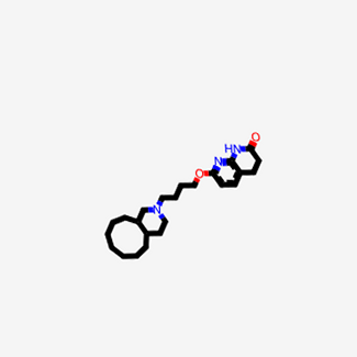 O=C1CCc2ccc(OCCCCN3CCC4CCCCCCCC4C3)nc2N1